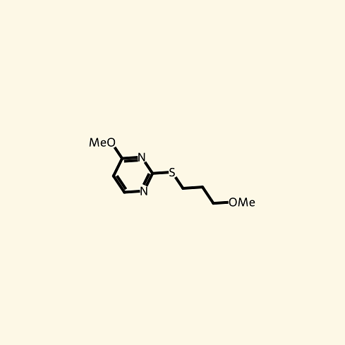 COCCCSc1nccc(OC)n1